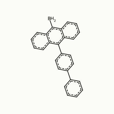 Bc1c2ccccc2c(-c2ccc(-c3ccccc3)cc2)c2ccccc12